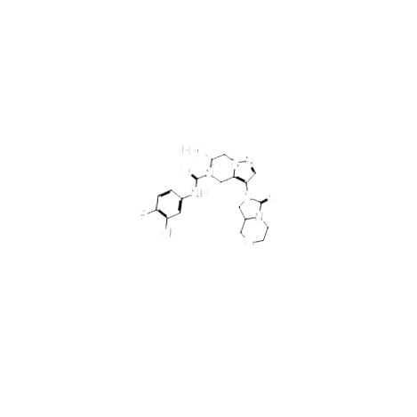 C[C@H]1Cn2ncc(N3CC4COCCN4C3=O)c2CN1C(=O)Nc1ccc(F)c(Cl)c1